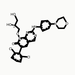 O=c1c(-c2c(Cl)cccc2Cl)cc2cnc(Nc3ccc(N4CCOCC4)cc3)nc2n1OC[C@@H](O)CO